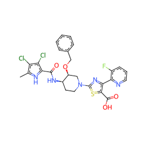 Cc1[nH]c(C(=O)N[C@@H]2CCN(c3nc(-c4ncccc4F)c(C(=O)O)s3)C[C@@H]2OCc2ccccc2)c(Cl)c1Cl